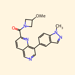 COC1CN(C(=O)c2ccc3cncc(-c4ccc5c(cnn5C)c4)c3n2)C1